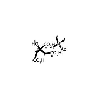 CC(=O)[N+](C)(C)C.O=C(O)CC(O)(CC(=O)O)C(=O)O